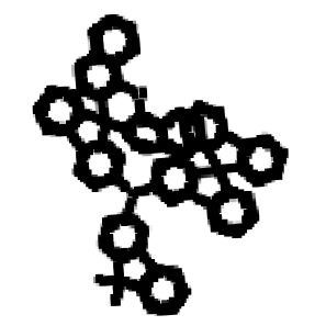 CC1(C)c2ccccc2-c2cc(N(c3ccc4c(c3)-c3ccccc3C43c4ccccc4-c4ccccc43)c3ccc4c(c3)C3(c5ccccc5-4)c4ccc5ccccc5c4Oc4c3ccc3ccccc43)ccc21